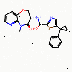 CN1C(=O)[C@@H](NC(O)c2ncc(C3(c4ccccc4)CC3)s2)COc2cccnc21